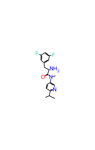 CC(C)c1ccc(N(C)C(=O)[C@@H](N)Cc2cc(F)cc(F)c2)cn1